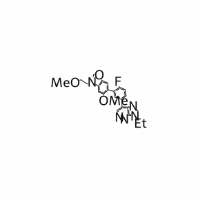 CCn1cnc2c(-c3ccc(F)c(-c4cc5c(cc4OC)N(CCOC)CO5)c3)cnnc21